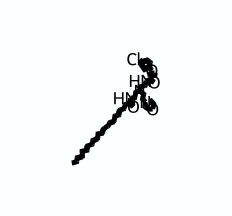 CCC=CCC=CCC=CCC=CCC=CCC=CCCC(=O)NCCN(CCNC(=O)C(C)(C)Oc1ccc(Cl)cc1)CCN1CCOCC1